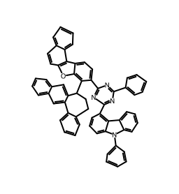 c1ccc(-c2nc(-c3ccc4c(oc5ccc6ccccc6c54)c3C3CCc4ccccc4-c4cc5ccccc5cc43)nc(-c3cccc4c3c3ccccc3n4-c3ccccc3)n2)cc1